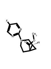 COC(=O)[C@@]12CCN(c3ncc(F)cn3)C[C@H]1C2